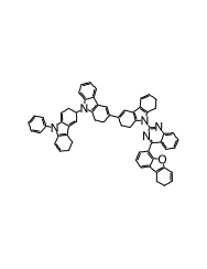 C1=Cc2c(c3c(n2-c2ccccc2)=CCC(n2c4c(c5ccccc52)C=C(C2=Cc5c6c(n(-c7nc(-c8cccc9c%10c(oc89)C=CCC%10)c8ccccc8n7)c5CC2)CCC=C6)CC4)C=3)CC1